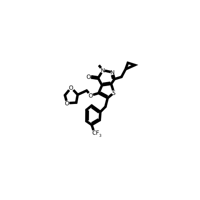 Cn1nc(CC2CC2)c2sc(Cc3cccc(C(F)(F)F)c3)c(OCC3COCO3)c2c1=O